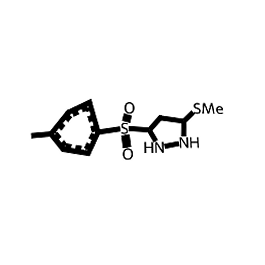 CSC1CC(S(=O)(=O)c2ccc(C)cc2)NN1